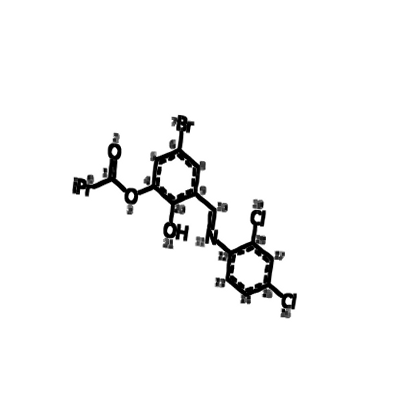 CC(C)C(=O)Oc1cc(Br)cc(C=Nc2ccc(Cl)cc2Cl)c1O